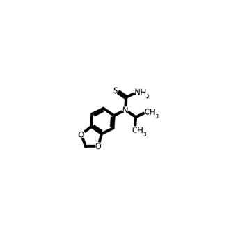 CC(C)N(C(N)=S)c1ccc2c(c1)OCO2